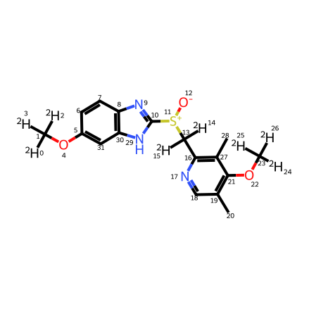 [2H]C([2H])([2H])Oc1ccc2nc([S+]([O-])C([2H])([2H])c3ncc(C)c(OC([2H])([2H])[2H])c3C)[nH]c2c1